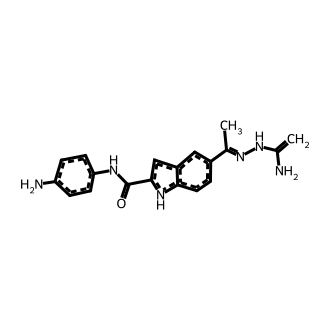 C=C(N)N/N=C(\C)c1ccc2[nH]c(C(=O)Nc3ccc(N)cc3)cc2c1